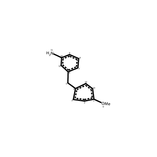 COc1ccc(Cc2cc[c]c(N)c2)cc1